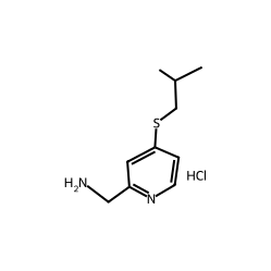 CC(C)CSc1ccnc(CN)c1.Cl